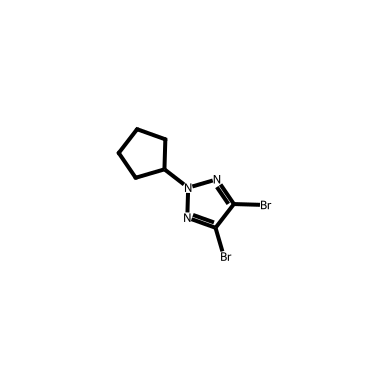 Brc1nn(C2CCCC2)nc1Br